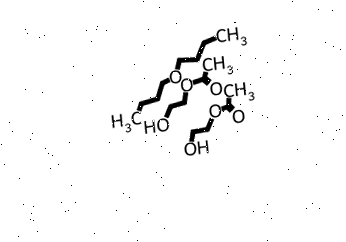 CC(=O)OCCO.CC(=O)OCCO.CCCCOCCCC